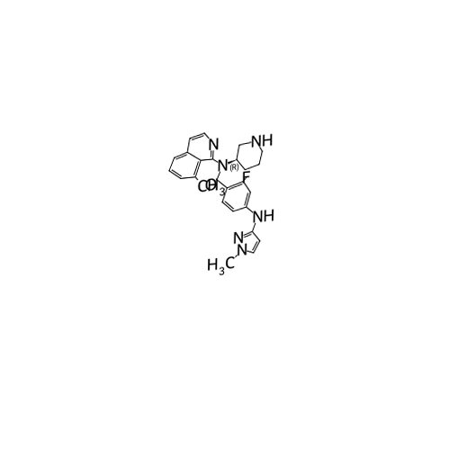 Cc1cccc2ccnc(N(C(=O)c3ccc(Nc4ccn(C)n4)cc3F)[C@@H]3CCCNC3)c12